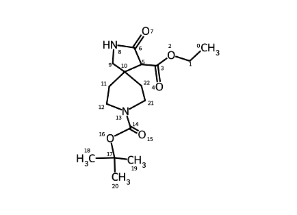 CCOC(=O)C1C(=O)NCC12CCN(C(=O)OC(C)(C)C)CC2